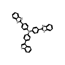 c1ccc2sc(-c3ccc(N(c4ccc(-c5nc6ccccc6s5)cc4)c4ccc(-c5csc6ccccc56)cc4)cc3)nc2c1